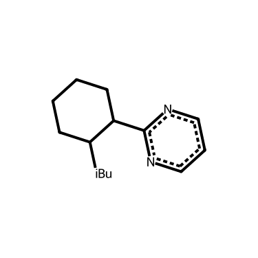 CCC(C)C1CCCCC1c1ncccn1